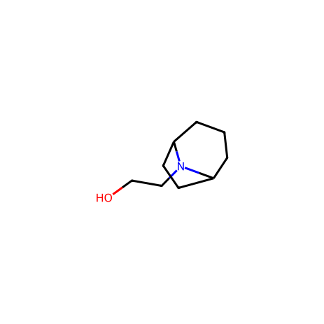 OCCN1C2CCCC1CC2